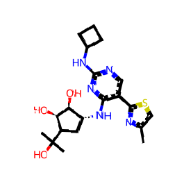 Cc1csc(-c2cnc(NC3CCC3)nc2N[C@@H]2CC(C(C)(C)O)[C@@H](O)[C@H]2O)n1